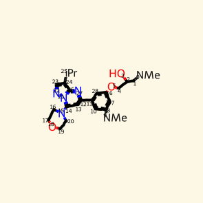 CNCC(O)COc1cc(NC)cc(-c2cc(N3CCOCC3)n3ncc(C(C)C)c3n2)c1